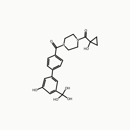 O=C(c1ccc(-c2cc(O)cc(C(O)(O)O)c2)cc1)N1CCN(C(=O)C2(O)CC2)CC1